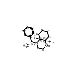 C[C@H](c1ccccc1)N1CCO[C@@H]2CCCC[C@H]21